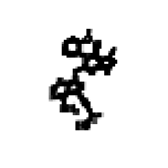 COc1ccccc1-n1c(Cn2nc(C#C[C@@H](C)O)c3c(N)ncnc32)nc2scc(C)c2c1=O